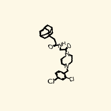 O=C(CC12CC3CC(CC(C3)C1)C2)NCC(=O)N1CCN(Cc2ccc(Cl)cc2Cl)CC1